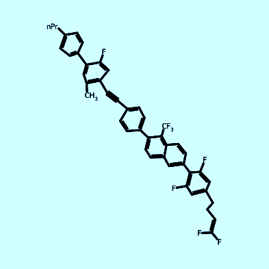 CCCc1ccc(-c2cc(C)c(C#Cc3ccc(-c4ccc5cc(-c6c(F)cc(CCC=C(F)F)cc6F)ccc5c4C(F)(F)F)cc3)cc2F)cc1